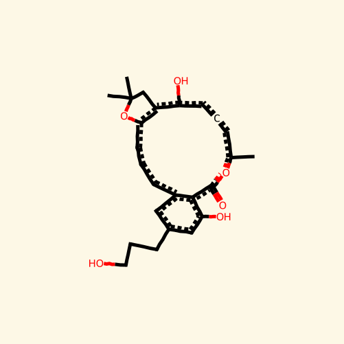 Cc1cccc(O)c2c(cccc3cc(CCCO)cc(O)c3c(=O)o1)OC(C)(C)C2